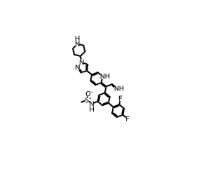 C[S+]([O-])Nc1cc(/C(C=N)=C2\C=CC(c3cnn(C4CCNCC4)c3)=CN2)cc(-c2ccc(F)cc2F)c1